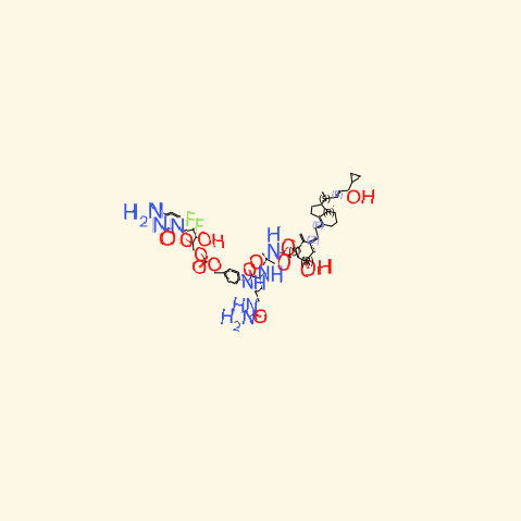 C=C1/C(=C\C=C2/CCC[C@@]3(C)C2CCC3[C@@H](C)/C=C/C(O)C2CC2)C[C@@H](O)C[C@@H]1OC(=O)NC(C)(C)C(=O)NC(CCCNC(N)=O)C(=O)Nc1ccc(COC(=O)OCC2OC(n3ccc(N)nc3=O)C(F)(F)C2O)cc1